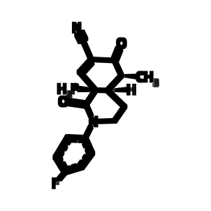 C[C@H]1C(=O)C(C#N)=C[C@@]2(P)C(=O)N(c3ccc(F)cc3)CC[C@H]12